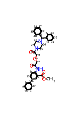 COC(=O)c1cc(-c2ccccc2)ccc1NC(=O)COCC(=O)N1CCN(C(c2ccccc2)c2ccccc2)CC1